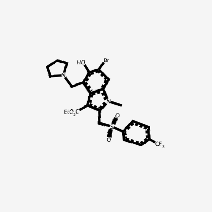 CCOC(=O)c1c(CS(=O)(=O)c2ccc(C(F)(F)F)cc2)n(C)c2cc(Br)c(O)c(CN3CCCC3)c12